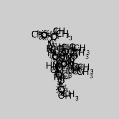 CC1(C)CCC(CN2CCN(c3ccc(C(=O)NS(=O)(=O)c4cnc(OCC5CCC(C)(O)CC5)c(Cl)c4)c(Oc4cccc5c4c(N(C(=O)OC(C)(C)C)C(=O)OC(C)(C)C)nn5C(=O)OC(C)(C)C)c3)CC2)=C(c2ccc(Cl)cc2)C1